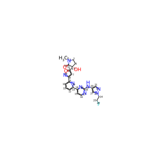 CN1CC[C@@](O)(c2cc(-c3cccc(-c4ccnc(Nc5cnn(CCF)c5)n4)n3)no2)C1=O